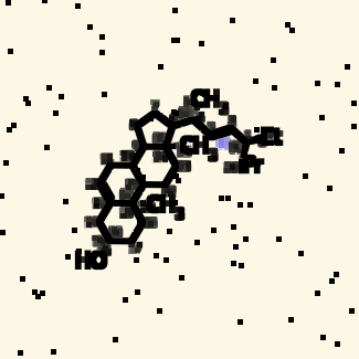 CC[C@H](/C=C/[C@@H](C)C1CCC2C3CC=C4C[C@@H](O)CC[C@]4(C)C3CC[C@@]21C)C(C)C